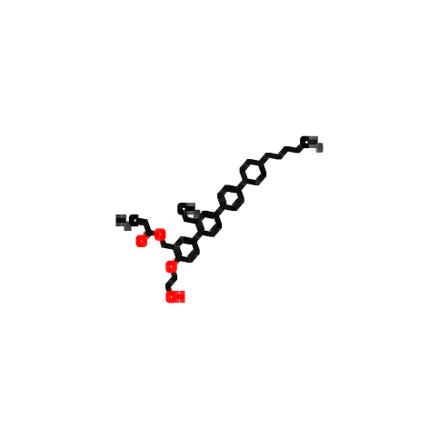 C=CC(=O)OCc1cc(-c2ccc(-c3ccc(C4CCC(CCCCC)CC4)cc3)cc2CC)ccc1OCCO